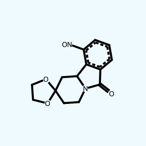 O=Nc1cccc2c1C1CC3(CCN1C2=O)OCCO3